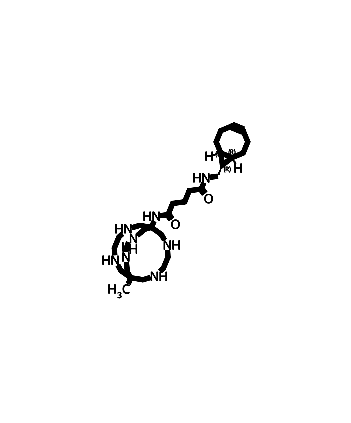 CC12CNCCNCC(NC(=O)CCCC(=O)NC[C@H]3[C@@H]4CCC#CCC[C@@H]43)(CNCCNC1)CNCCNC2